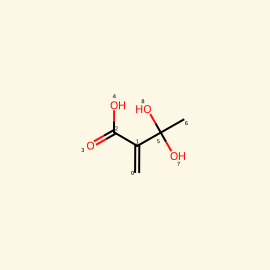 C=C(C(=O)O)C(C)(O)O